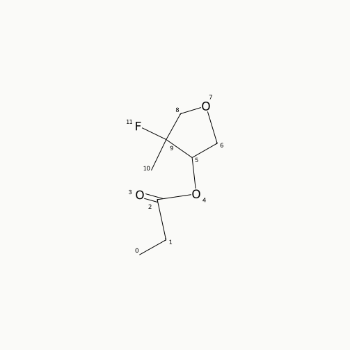 CCC(=O)OC1COCC1(C)F